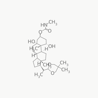 CNC(=O)O[C@H]1C[C@H](O)[C@]2(C)[C@H]3CC[C@]4(C)[C@@H](C(C)C5OCC(C)(C)CO5)CC[C@H]4[C@@H]3C=C[C@@]2(O)C1